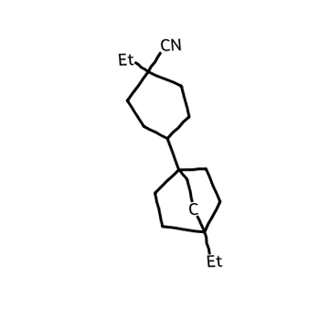 CCC1(C#N)CCC(C23CCC(CC)(CC2)CC3)CC1